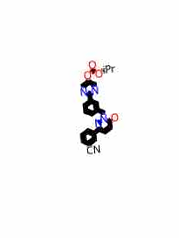 CC(C)OC(=O)Oc1cnc(-c2cccc(Cn3nc(-c4cccc(C#N)c4)ccc3=O)c2)nc1